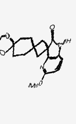 COc1ccc2c(n1)C1(CC3(CCC4(CC3)OCCO4)C1)C(=O)N2